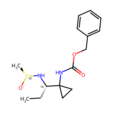 CC[C@H](N[S@+](C)[O-])C1(NC(=O)OCc2ccccc2)CC1